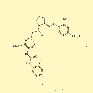 COc1cc(CC(=O)N2CCC[C@H]2COc2ccc(C(=O)O)cc2N)ccc1NC(=O)Nc1ccccc1C